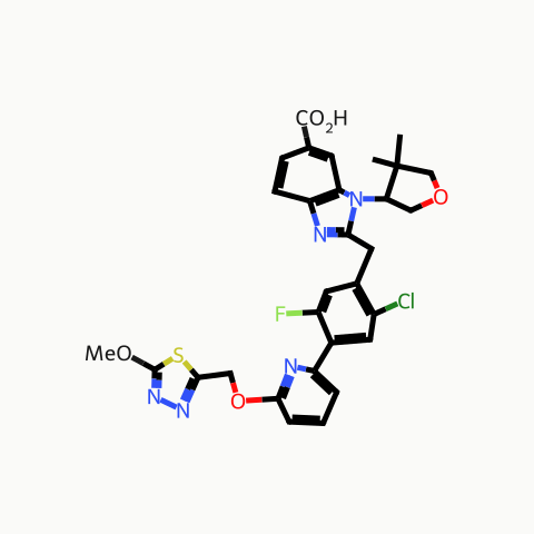 COc1nnc(COc2cccc(-c3cc(Cl)c(Cc4nc5ccc(C(=O)O)cc5n4C4COCC4(C)C)cc3F)n2)s1